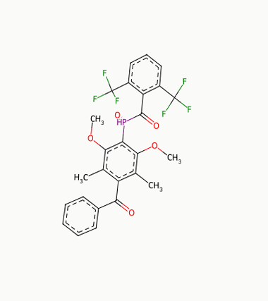 COc1c(C)c(C(=O)c2ccccc2)c(C)c(OC)c1[PH](=O)C(=O)c1c(C(F)(F)F)cccc1C(F)(F)F